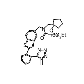 CCCCC(=O)N(Cc1ccc2sc(-c3ccccc3-c3nnn[nH]3)cc2c1)CC1(OC(=O)OCC)CCCC1